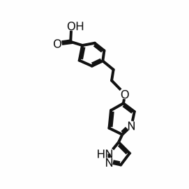 O=C(O)c1ccc(CCOc2ccc(-c3ccn[nH]3)nc2)cc1